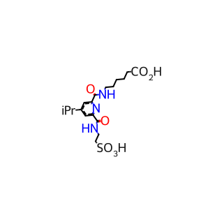 CC(C)c1cc(C(=O)NCCCCCC(=O)O)nc(C(=O)NCCS(=O)(=O)O)c1